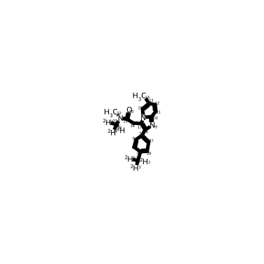 [2H]C([2H])([2H])c1ccc(-c2nc3ccc(C)cn3c2CC(=O)N(C)C([2H])([2H])[2H])cc1